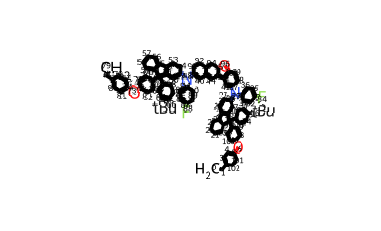 C=CC1=CC=C(OC2C=CC(C3(c4ccc(C(C)(C)C)cc4)C4C=CC=CC4C4C=CC(N(c5ccc(F)cc5)c5ccc6c(c5)C5C=C7C=C(N(C8=CC9C(C=C8)c8ccccc8C9(C8=CC=C(C(C)(C)C)CC8)C8C=CC(Oc9ccc(C=C)cc9)=CC8)C8=CC=C(F)CC8)CCC7CC5O6)CC43)=CC2)CC1